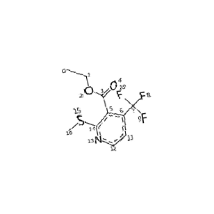 CCOC(=O)c1c(C(F)(F)F)ccnc1SC